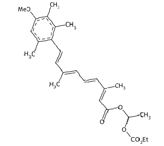 CCOC(=O)OC(C)OC(=O)C=C(C)C=CC=C(C)C=Cc1c(C)cc(OC)c(C)c1C